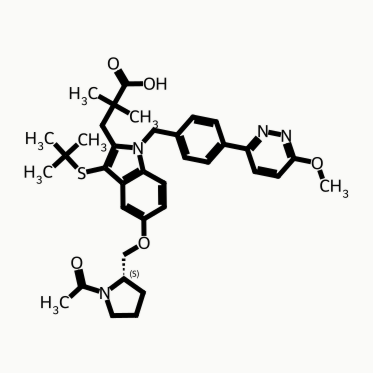 COc1ccc(-c2ccc(Cn3c(CC(C)(C)C(=O)O)c(SC(C)(C)C)c4cc(OC[C@@H]5CCCN5C(C)=O)ccc43)cc2)nn1